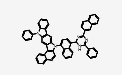 c1ccc(C2=NC(c3ccc4ccccc4c3)=NC(c3ccc(-n4c5cc6c7ccccc7n(-c7ccccc7)c6cc5c5c6ccccc6ccc54)c4ccccc34)N2)cc1